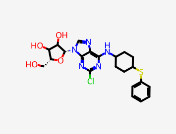 OC[C@H]1O[C@@H](n2cnc3c(NC4CCC(Sc5ccccc5)CC4)nc(Cl)nc32)C(O)C1O